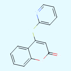 O=c1cc(Sc2ccccn2)c2ccccc2o1